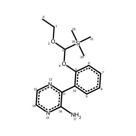 CCOC(Oc1ccccc1-c1nccnc1N)[Si](C)(C)C